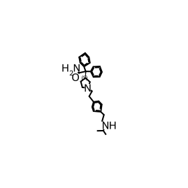 CC(C)NCCc1ccc(CCN2CC[C@@H](C(C(N)=O)(c3ccccc3)c3ccccc3)C2)cc1